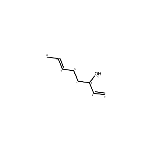 C=CC(O)CC/C=C/C